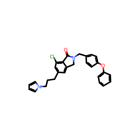 O=C1c2c(Cl)cc(CCCn3cccc3)cc2CN1Cc1ccc(Oc2ccccc2)cc1